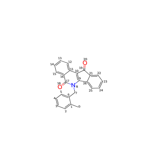 Cc1ccccc1Cn1c2c(c3ccccc3c1=O)C(=O)c1ccccc1-2